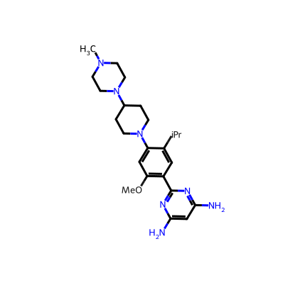 COc1cc(N2CCC(N3CCN(C)CC3)CC2)c(C(C)C)cc1-c1nc(N)cc(N)n1